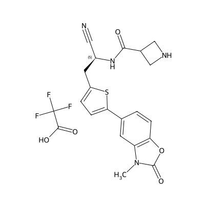 Cn1c(=O)oc2ccc(-c3ccc(C[C@@H](C#N)NC(=O)C4CNC4)s3)cc21.O=C(O)C(F)(F)F